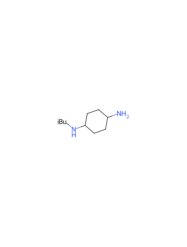 CCC(C)NC1CCC(N)CC1